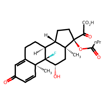 CCCC(=O)O[C@]1(C(=O)C(=O)O)CC[C@H]2[C@@H]3CCC4=CC(=O)C=C[C@]4(C)[C@@]3(F)[C@@H](O)C[C@@]21C